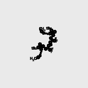 C=CC1=CCC(OCCCCC2=CCC(C3(C4=CC=C(C(C)(C)C)CC4)C4=C(C=CC(c5cccc(N(c6ccc(F)c(F)c6)C6C=CC7C(C6)OC6CC(N(C8=CCC(F)C(F)=C8)C8=CC(C9=CC%10C(C=C9)C9=C(C=CCC9)C%10(C9=CCC(CCCCOC%10C=CC(C=C)CC%10)CC9)C9CC=C(C(C)(C)C)CC9)CC=C8)C=CC67)c5)C4)c4ccccc43)C=C2)C=C1